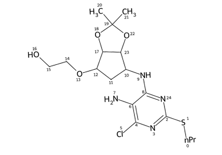 CCCSc1nc(Cl)c(N)c(NC2CC(OCCO)C3OC(C)(C)OC23)n1